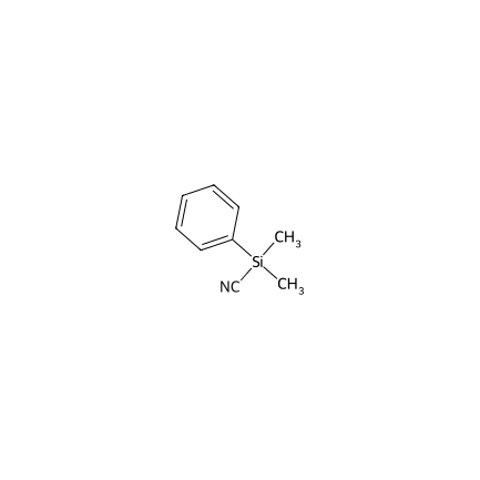 C[Si](C)(C#N)c1ccccc1